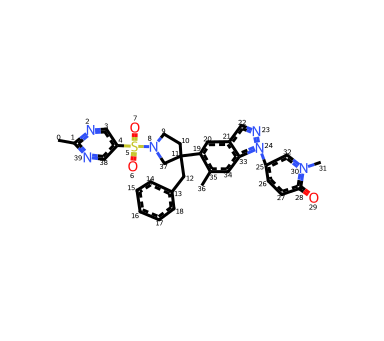 Cc1ncc(S(=O)(=O)N2CCC(Cc3ccccc3)(c3cc4cnn(-c5ccc(=O)n(C)c5)c4cc3C)C2)cn1